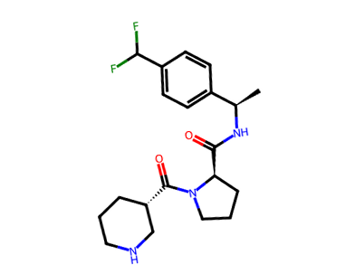 C[C@@H](NC(=O)[C@H]1CCCN1C(=O)[C@H]1CCCNC1)c1ccc(C(F)F)cc1